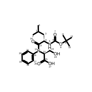 CC(C)C[C@H](NC(=O)OC(C)(C)C)C(=O)N(c1ccccc1)[C@@H](CO)C(=O)O